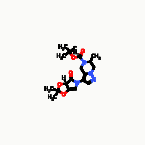 CC1Cn2ncc(N3C=C4OC(C)(C)O[C@H]4C3=O)c2CN1C(=O)OC(C)(C)C